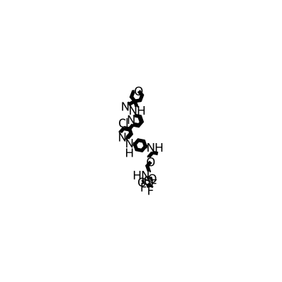 CC(COCCNS(=O)(=O)C(F)(F)F)NC1CCC(Nc2cc(-c3cccc(NCC4(C#N)CCOCC4)n3)c(Cl)cn2)CC1